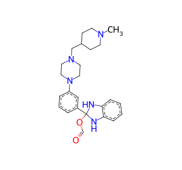 CN1CCC(CN2CCN(c3cccc(C4(OC=O)Nc5ccccc5N4)c3)CC2)CC1